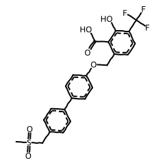 CS(=O)(=O)Cc1ccc(-c2ccc(OCc3ccc(C(F)(F)F)c(O)c3C(=O)O)cc2)cc1